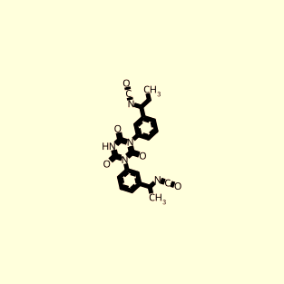 CCC(N=C=O)c1cccc(-n2c(=O)[nH]c(=O)n(-c3cccc(C(C)N=C=O)c3)c2=O)c1